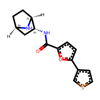 O=C(N[C@@H]1C[C@H]2CC[C@@H]1N2)c1ccc(-c2ccsc2)o1